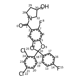 O=C(c1cc2c(cc1F)OC(c1ccc(F)cc1)(c1ccc(Cl)cc1Cl)O2)N1CCC(O)C1